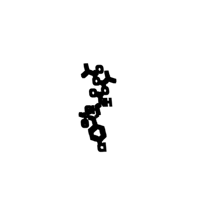 CC(C)C(=O)OC(OC(=O)NCC[C@H](c1ccc(Cl)cc1)P(C)(=O)O)C(C)C